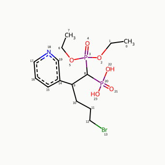 CCOP(=O)(OCC)C(C(CCCBr)c1cccnc1)P(=O)(O)O